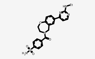 CCNc1nccc(-c2ccc3c(c2)CN(C(=O)c2ccc(S(N)(=O)=O)cc2)CCO3)n1